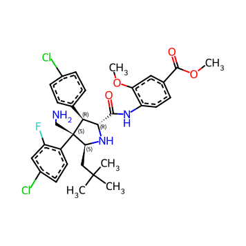 COC(=O)c1ccc(NC(=O)[C@@H]2N[C@@H](CC(C)(C)C)[C@](CN)(c3ccc(Cl)cc3F)[C@H]2c2ccc(Cl)cc2)c(OC)c1